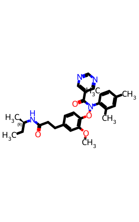 CC[C@@H](C)NC(=O)CCc1ccc(ON(C(=O)c2cncnc2)c2c(C)cc(C)cc2C)c(OC)c1